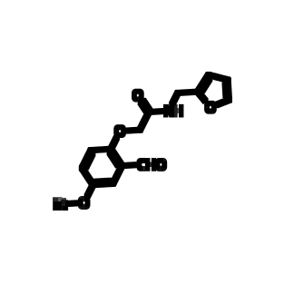 CCOc1ccc(OCC(=O)NCc2ccco2)c(C=O)c1